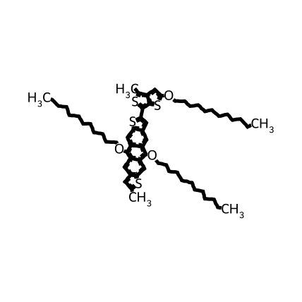 CCCCCCCCCCCCOc1cc2c(C)sc(-c3cc4cc5c(OCCCCCCCCCCCC)c6cc7sc(C)cc7cc6c(OCCCCCCCCCCCC)c5cc4s3)c2s1